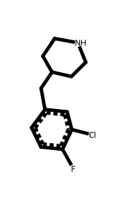 Fc1ccc(CC2CCNCC2)cc1Cl